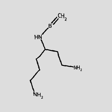 C=BNC(CCN)CCCN